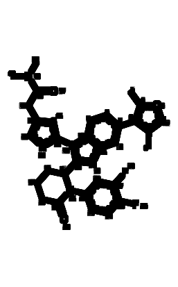 Cc1noc(C)c1-c1ccc2c(c1)nc(C1CCCC(=O)N1c1ccc(F)c(F)c1)n2-c1ncc(CC(=O)N(C)C)s1